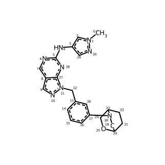 Cn1cc(Nc2ncc3cnn(Cc4cccc(N5CC6CCC5CO6)c4)c3n2)cn1